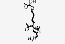 COC(O)OCCCC[C@H](C(C)=O)n1cc(CN)nn1